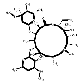 CC[C@H]1OC(=O)[C@H](C)[C@@H](O[C@H]2C[C@@](C)(OC)[C@@H](O)[C@H](C)O2)[C@H](C)[C@@H](O[C@@H]2O[C@H](C)C[C@H](NC)[C@H]2O)[C@](C)(O)C[C@@H](C)CN(C)[C@H](C)[C@@H](O)[C@]1(C)O